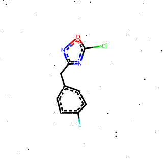 Fc1ccc(Cc2noc(Cl)n2)cc1